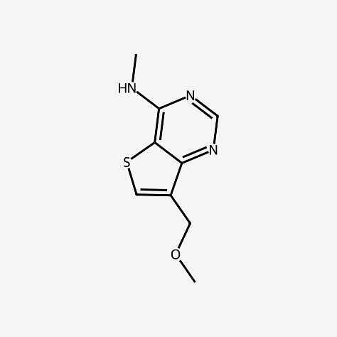 CNc1ncnc2c(COC)csc12